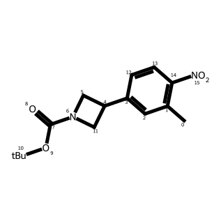 Cc1cc(C2CN(C(=O)OC(C)(C)C)C2)ccc1[N+](=O)[O-]